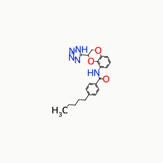 CCCCCc1ccc(C(=O)Nc2cccc3c2OC(c2nnn[nH]2)CO3)cc1